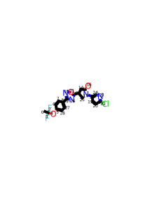 CC(F)(F)Oc1ccc(-c2noc(C3CC(=O)N(c4ccc(Cl)nc4)C3)n2)cc1